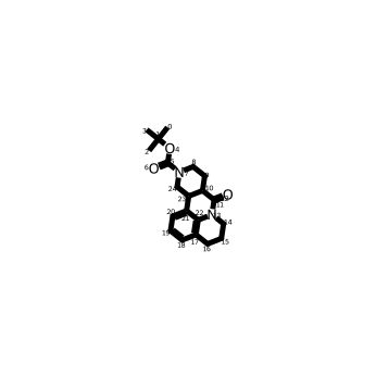 CC(C)(C)OC(=O)N1CCC2C(=O)N3CCCc4cccc(c43)C2C1